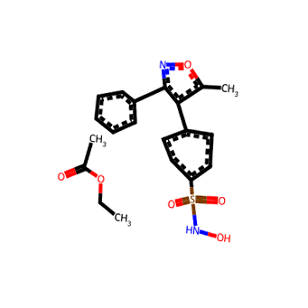 CCOC(C)=O.Cc1onc(-c2ccccc2)c1-c1ccc(S(=O)(=O)NO)cc1